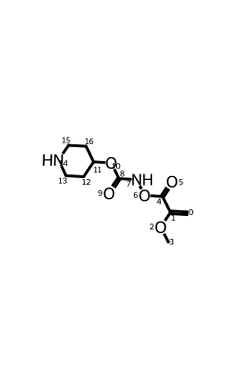 C=C(OC)C(=O)ONC(=O)OC1CCNCC1